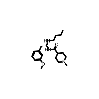 CCCCN[C@@H](Cc1cccc(OC)c1)NC(=O)C1CCN(C)CC1